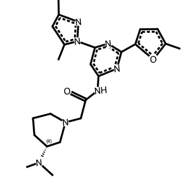 Cc1cc(C)n(-c2cc(NC(=O)CN3CCC[C@@H](N(C)C)C3)nc(-c3ccc(C)o3)n2)n1